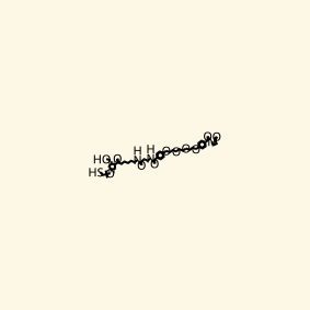 CC(C)(CS)O[C@H]1CC(C(=O)CCCCCNC(=O)CCNC(=O)c2ccc(OCCOCCOCCOc3ccc(C(=O)N4CCC4=O)cc3)cc2)[C@H](CO)C1